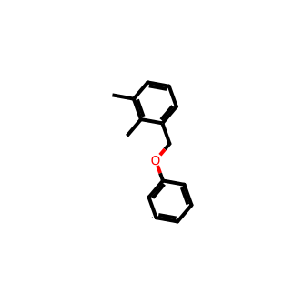 Cc1cccc(COc2c[c]ccc2)c1C